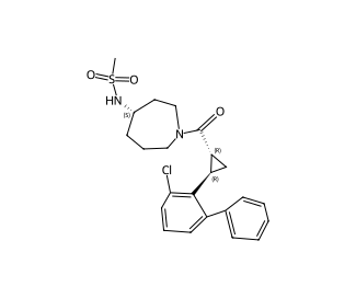 CS(=O)(=O)N[C@H]1CCCN(C(=O)[C@@H]2C[C@H]2c2c(Cl)cccc2-c2ccccc2)CC1